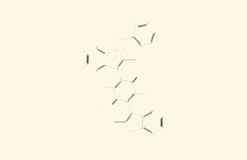 Cc1[nH]c2ccccc2c1C1=C(O)C(=O)C(c2c(C)n(Cc3ccccc3)c3ccccc23)=C(O)C1=O